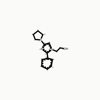 OCCn1cc(N2CCCC2)nc1-c1ccccc1